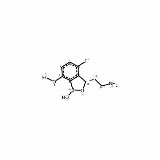 CCOc1ccc(F)c2c1B(O)O[C@H]2CCN